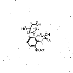 CCCCCCCCc1ccccc1OP(=O)(O)O.CCOCC.OCCO